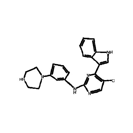 Clc1cnc(Nc2cccc(N3CCNCC3)c2)nc1-c1c[nH]c2ccccc12